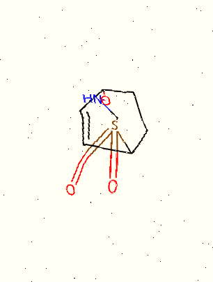 O=S1(=O)CNOC2C=CC1CC2